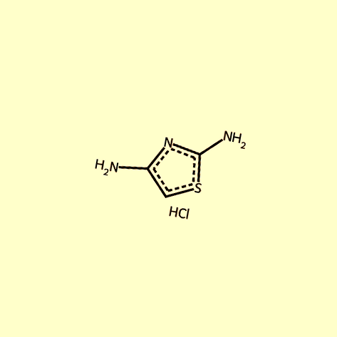 Cl.Nc1csc(N)n1